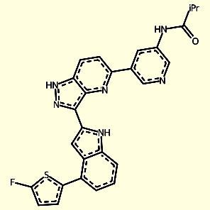 CC(C)C(=O)Nc1cncc(-c2ccc3[nH]nc(-c4cc5c(-c6ccc(F)s6)cccc5[nH]4)c3n2)c1